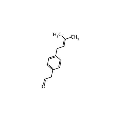 CC(C)=CCc1ccc(CC=O)cc1